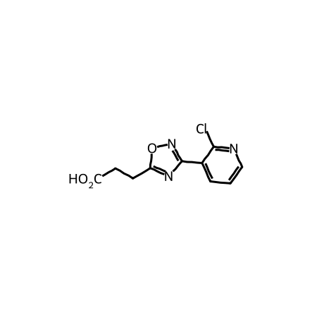 O=C(O)CCc1nc(-c2cccnc2Cl)no1